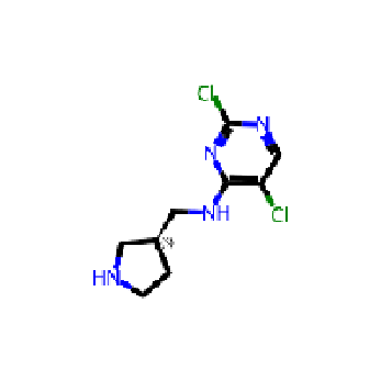 Clc1ncc(Cl)c(NC[C@H]2CCNC2)n1